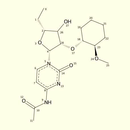 CC[C@H]1O[C@@H](n2ccc(NC(C)=O)nc2=O)[C@@H](O[C@@H]2CCCC[C@H]2OC)C1O